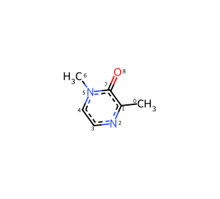 Cc1nccn(C)c1=O